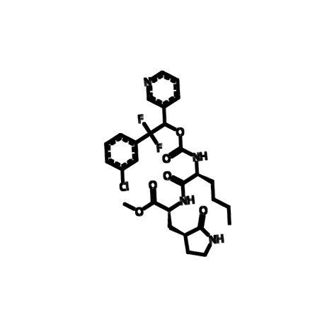 CCCC[C@H](NC(=O)OC(c1cccnc1)C(F)(F)c1cccc(Cl)c1)C(=O)N[C@@H](C[C@@H]1CCNC1=O)C(=O)OC